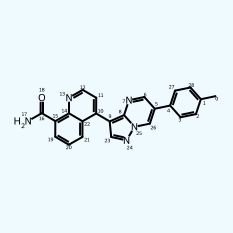 Cc1ccc(-c2cnc3c(-c4ccnc5c(C(N)=O)cccc45)cnn3c2)cc1